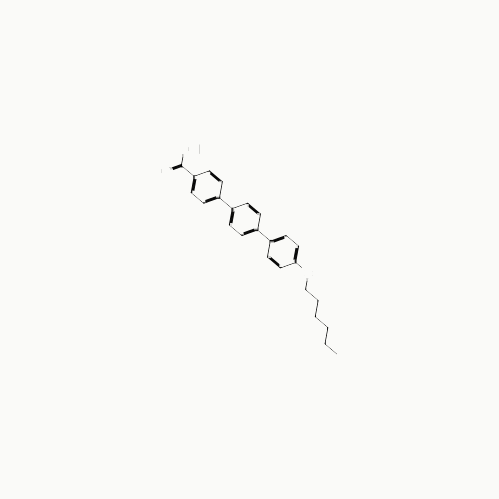 CCCCCCOc1ccc(-c2ccc(-c3ccc(C(=O)O)cc3)cc2)cc1